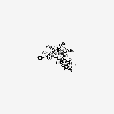 CC(=O)C[C@H](NC(=O)[C@H](CCCNC(=N)NS(=O)(=O)c1c(C)c(C)c2c(c1C)OC(C)(C)C2)NC(=O)[C@@H](NC(=O)[C@@H](NC(=O)[C@@H](NC(=O)[C@@H](N)CSCC(N)=O)[C@@H](C)OC(C)(C)C)[C@@H](C)OC(C)(C)C)[C@@H](C)OC(C)(C)C)C(=O)OCc1ccccc1